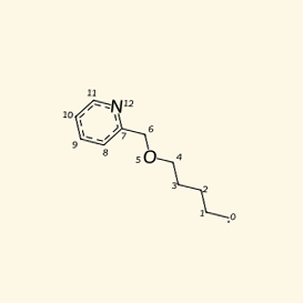 [CH2]CCCCOCc1ccccn1